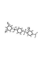 CC(C)c1ccc(C(C)(C)c2ccc(C(C)(C)c3cc(F)cc(F)c3)cc2)c(Cl)c1